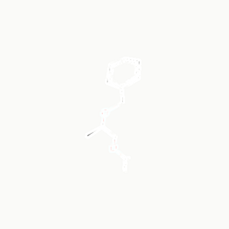 C[CH]OC[C@@H](C)OCc1ccccc1